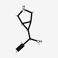 C#CC(O)C1C2CNCC21